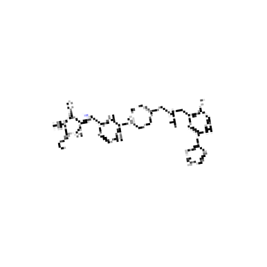 O=C1NC(=O)/C(=C/c2ccnc(N3CCC(CNCc4cc(-c5ccsc5)ncc4F)CC3)n2)S1